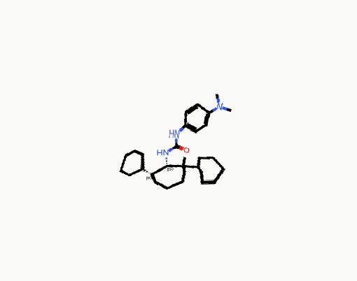 CN(C)c1ccc(NC(=O)N[C@H]2[C@@H](C3CCCCC3)CCCC2(C)C2CCCCC2)cc1